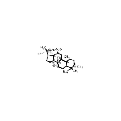 CCC[C@](C)(OC(C)=O)C1CC[C@]2(C)[C@@H]1C(OC(C)=O)CC1[C@@]3(C)CC[C@H](OC(C)=O)C(C)(C)C3CC[C@]12C